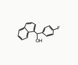 OC(c1ccc(F)cc1)c1cccc2ccccc12